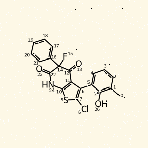 Cc1cccc(-c2c(Cl)sc3c2C(=O)C(F)(c2ccccc2)C(=O)N3)c1O